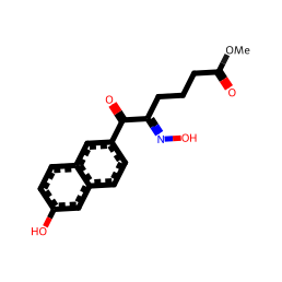 COC(=O)CCCC(=NO)C(=O)c1ccc2cc(O)ccc2c1